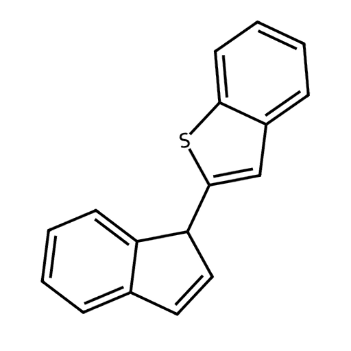 C1=CC(c2cc3ccccc3s2)c2ccccc21